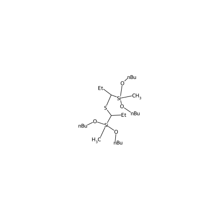 CCCCO[Si](C)(OCCCC)C(CC)SC(CC)[Si](C)(OCCCC)OCCCC